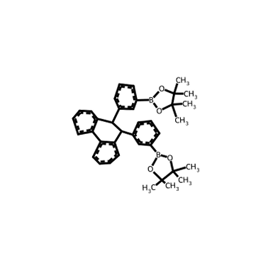 CC1(C)OB(c2cccc(C3c4ccccc4-c4ccccc4C3c3cccc(B4OC(C)(C)C(C)(C)O4)c3)c2)OC1(C)C